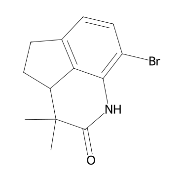 CC1(C)C(=O)Nc2c(Br)ccc3c2C1CC3